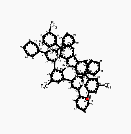 FC(F)(F)c1cc(-c2ccc3c4ccc(-c5cc(C(F)(F)F)cc(C(F)(F)F)c5)cc4n(-c4c(-c5cc(-c6ccccc6)nc(-c6ccccc6)n5)cc(C(F)(F)F)cc4-c4cc(-c5ccccc5)nc(-c5ccccc5)n4)c3c2)cc(C(F)(F)F)c1